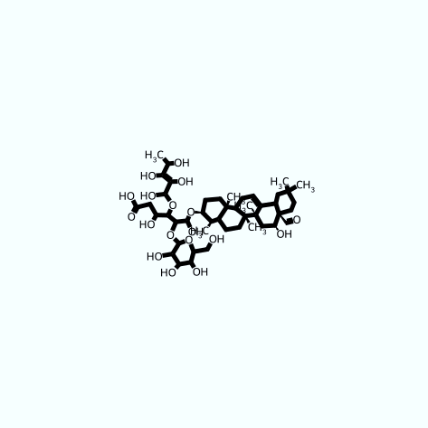 CC(O)/C(O)=C(\O)C(O)OC(C(O)CC(=O)O)C(OC1OC(CO)C(O)C(O)C1O)C(O)O[C@H]1CC[C@@]2(C)C(CC[C@]3(C)C2CC=C2C4CC(C)(C)CC[C@]4(C=O)[C@H](O)C[C@]23C)[C@H]1C